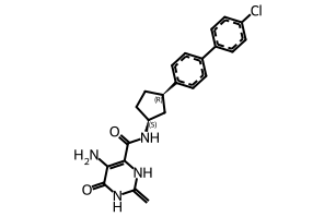 C=C1NC(=O)C(N)=C(C(=O)N[C@H]2CC[C@@H](c3ccc(-c4ccc(Cl)cc4)cc3)C2)N1